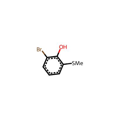 CSc1cccc(Br)c1O